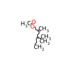 C=CCC[C@@H](CC[C@H](C)CCOC(C)=O)C(=C)C